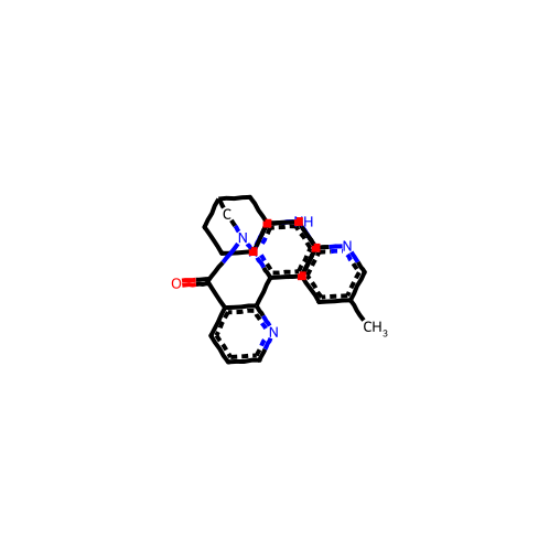 Cc1ccc(NC2CC3CCC2N(C(=O)c2cccnc2-c2ccccn2)C3)nc1